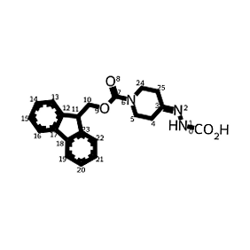 O=C(O)NN=C1CCN(C(=O)OCC2c3ccccc3-c3ccccc32)CC1